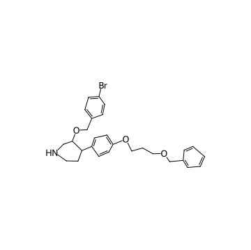 Brc1ccc(COC2CNCCC2c2ccc(OCCCOCc3ccccc3)cc2)cc1